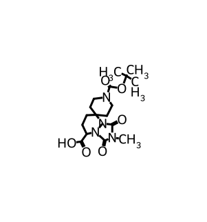 Cn1c(=O)n2n(c1=O)C1(CCC2C(=O)O)CCN(C(=O)OC(C)(C)C)CC1